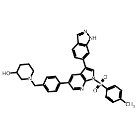 Cc1ccc(S(=O)(=O)n2cc(-c3ccc4cn[nH]c4c3)c3cc(-c4ccc(CN5CCCC(O)C5)cc4)cnc32)cc1